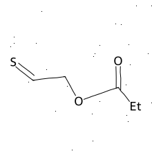 CCC(=O)OCC=S